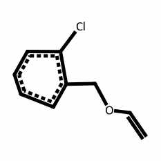 C=COCc1ccccc1Cl